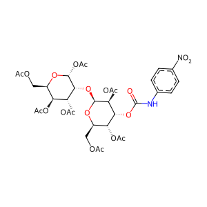 CC(=O)OC[C@H]1O[C@H](OC(C)=O)[C@H](O[C@@H]2O[C@H](COC(C)=O)[C@@H](OC(C)=O)[C@@H](OC(=O)Nc3ccc([N+](=O)[O-])cc3)[C@@H]2OC(C)=O)[C@H](OC(C)=O)[C@H]1OC(C)=O